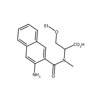 CCOCC(C(=O)O)N(C)C(=O)c1cc2ccccc2cc1N